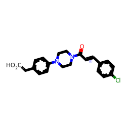 O=C(O)Cc1ccc(N2CCN(C(=O)/C=C/c3ccc(Cl)cc3)CC2)cc1